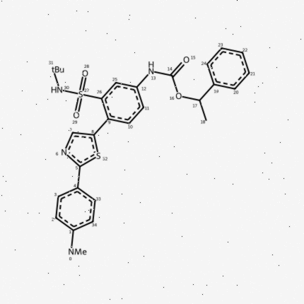 CNc1ccc(-c2ncc(-c3ccc(NC(=O)OC(C)c4ccccc4)cc3S(=O)(=O)NC(C)(C)C)s2)cc1